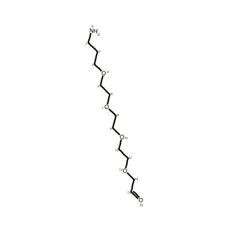 NCCCOCCOCCOCCOCC=O